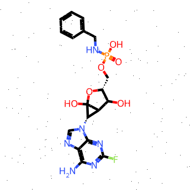 Nc1nc(F)nc2c1ncn2[C@H]1C2C(O)[C@@H](COP(=O)(O)NCc3ccccc3)OC21O